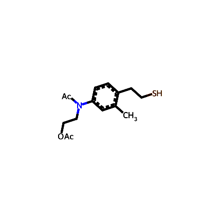 CC(=O)OCCN(C(C)=O)c1ccc(CCS)c(C)c1